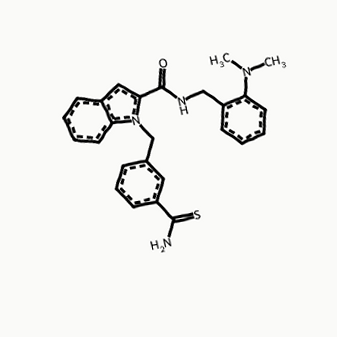 CN(C)c1ccccc1CNC(=O)c1cc2ccccc2n1Cc1cccc(C(N)=S)c1